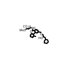 CSCCC(NC(=O)c1ccc(COCC(O)CC2CCCCC2)cc1-c1ccccc1C)C(=O)O